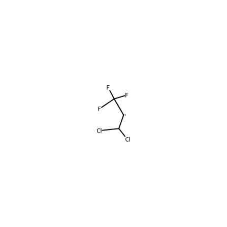 FC(F)(F)[C]C(Cl)Cl